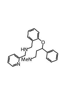 CNCCC(Oc1ccccc1CNCc1ccccn1)c1ccccc1